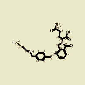 COCCNCc1ccc(COc2cccc3c2CN(C(CCC(N)=O)C(=O)O)C3=O)cc1